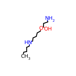 CCCCCNCCCCCOC(O)CCN